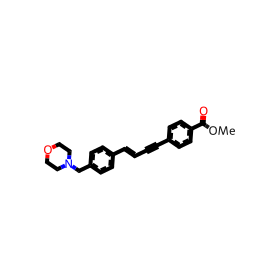 COC(=O)c1ccc(C#C/C=C/c2ccc(CN3CCOCC3)cc2)cc1